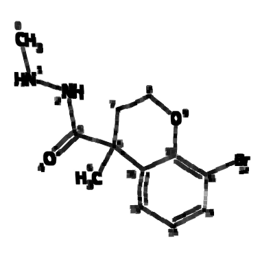 CNNC(=O)C1(C)CCOc2c(Br)cccc21